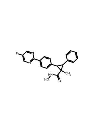 CC1(C(=O)NO)C(c2ccccc2)C1c1ccc(-c2ncc(F)cn2)cc1